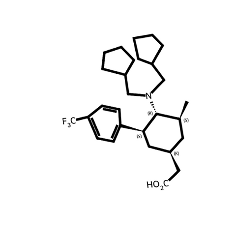 C[C@H]1C[C@@H](CC(=O)O)C[C@@H](c2ccc(C(F)(F)F)cc2)[C@@H]1N(CC1CCCC1)CC1CCCC1